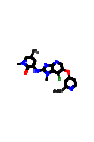 CC(=O)Nc1cc(Oc2cnc3nc(Nc4cc(C(F)(F)F)cn(C)c4=O)n(C)c3c2Cl)ccn1